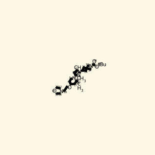 Cc1cc(N2CC[C@H](OCCN3CCOCC3)CC2(C)C)nn1C1CC2(C1)CN(C(=O)OC(C)(C)C)C2